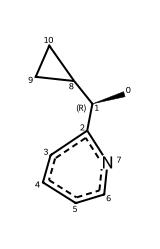 C[C@@H](c1ccccn1)C1CC1